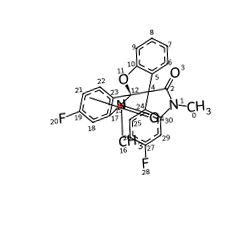 CN1C(=O)C2(c3ccccc3O[C@]23C(=O)N(C)c2cc(F)ccc23)c2ccc(F)cc21